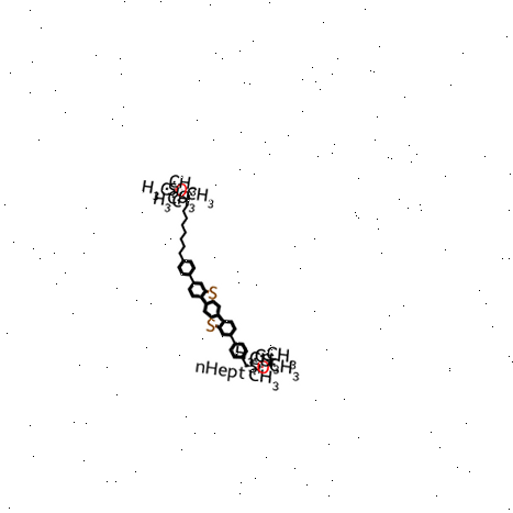 CCCCCCCC(c1ccc(-c2ccc3c(c2)sc2cc4c(cc23)sc2cc(-c3ccc(CCCCCCCC[Si](C)(C)O[Si](C)(C)C)cc3)ccc24)cc1)[Si](C)(C)O[Si](C)(C)C